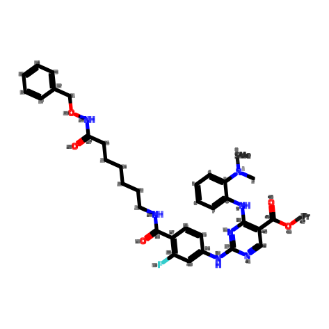 CSN(C)c1ccccc1Nc1nc(Nc2ccc(C(=O)NCCCCCCC(=O)NOCc3ccccc3)c(F)c2)ncc1C(=O)OC(C)C